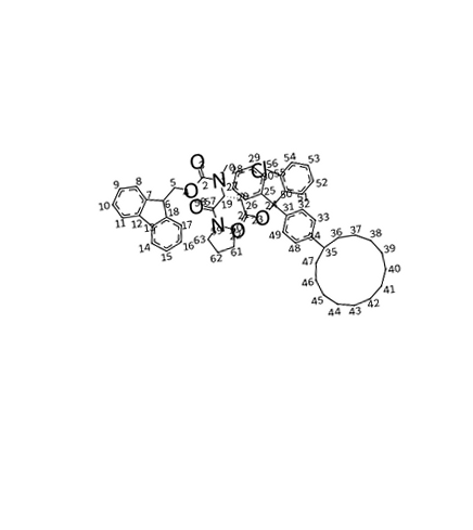 CN(C(=O)OCC1c2ccccc2-c2ccccc21)[C@H](CC(=O)OC(c1ccccc1)(c1ccc(C2CCCCCCCCCCCC2)cc1)c1ccccc1Cl)C(=O)N1CCCC1